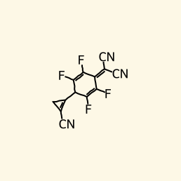 N#CC(C#N)=C1C(F)=C(F)C(C2=C(C#N)C2)C(F)=C1F